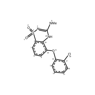 CNC1=NS(=O)(=O)c2cccc(Oc3ccccc3Cl)c2N1